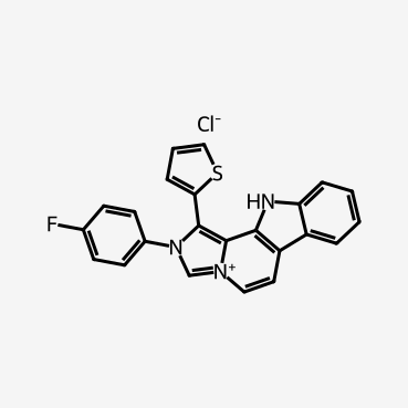 Fc1ccc(-n2c[n+]3ccc4c5ccccc5[nH]c4c3c2-c2cccs2)cc1.[Cl-]